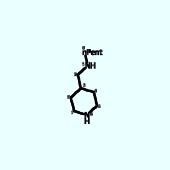 CCCCCNCC1CCNCC1